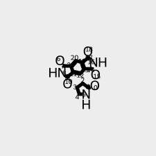 O=C1CCCN1.O=c1[nH]c(=O)c2cc3c(=O)[nH]c(=O)c3cc12